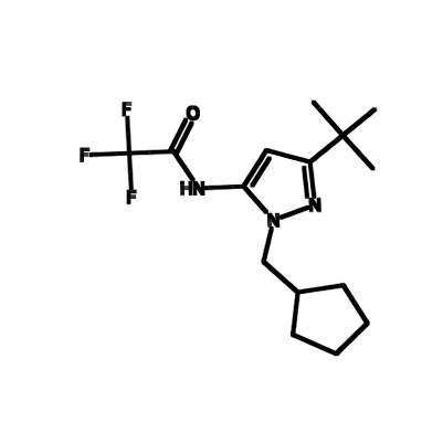 CC(C)(C)c1cc(NC(=O)C(F)(F)F)n(CC2CCCC2)n1